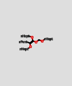 CCCCCCCOCOC(OCCCCCCC)=C(CCCCC)OCCCCCCC